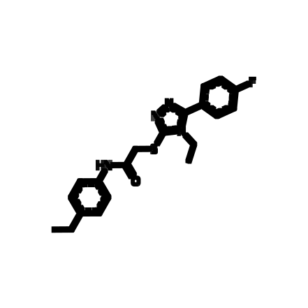 CCc1ccc(NC(=O)CSc2nnc(-c3ccc(F)cc3)n2CC)cc1